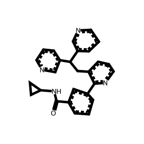 O=C(NC1CC1)c1cccc(-c2ncccc2CC(c2cccnc2)c2cccnc2)c1